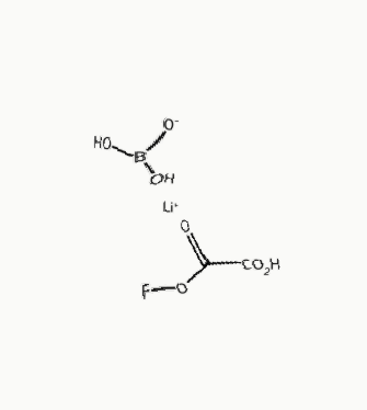 O=C(O)C(=O)OF.[Li+].[O-]B(O)O